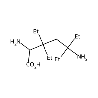 CCC(N)(CC)CC(CC)(CC)C(N)C(=O)O